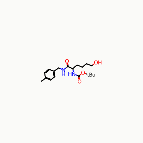 Cc1ccc(CNC(=O)C(CCCCO)NC(=O)OC(C)(C)C)cc1